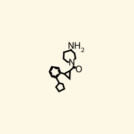 NC1CCCN(C(=O)C2CC2c2ccccc2C2CCCC2)CC1